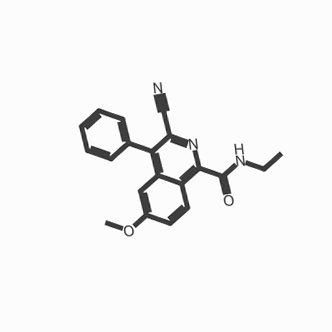 CCNC(=O)c1nc(C#N)c(-c2ccccc2)c2cc(OC)ccc12